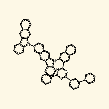 c1ccc(-c2cccc(-c3nc(-c4ccccc4)nc(-c4cc5ccccc5cc4-n4c5ccccc5c5cc6cc(-n7c8ccccc8c8cc9ccccc9cc87)ccc6cc54)n3)c2)cc1